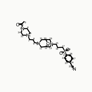 CC(=O)N1CCN(CCCN2CC3CN(CCCS(=O)(=O)c4ccc(C#N)cc4)CC(C2)O3)CC1